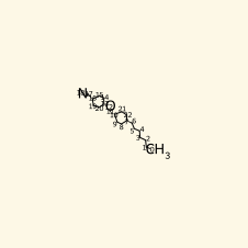 CCCCCCC[C@H]1CC[C@H](CO[C@H]2CC[C@H](C#N)CC2)CC1